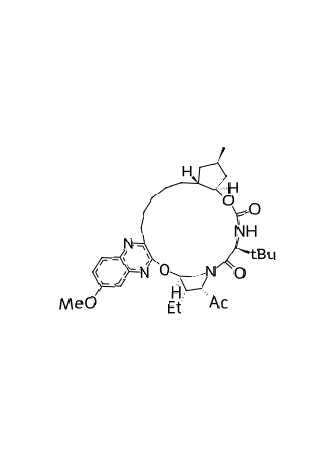 CC[C@@H]1[C@@H]2CN(C(=O)[C@H](C(C)(C)C)NC(=O)O[C@@H]3C[C@H](C)C[C@H]3CCCCCc3nc4ccc(OC)cc4nc3O2)[C@@H]1C(C)=O